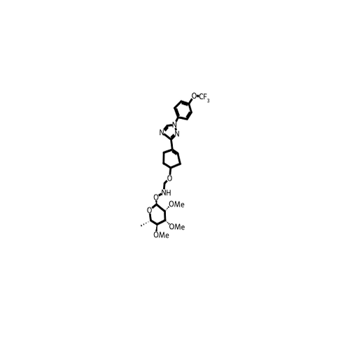 CO[C@@H]1[C@@H](OC)[C@H](C)O[C@@H](ONCOC2CC=C(c3ncn(-c4ccc(OC(F)(F)F)cc4)n3)CC2)[C@@H]1OC